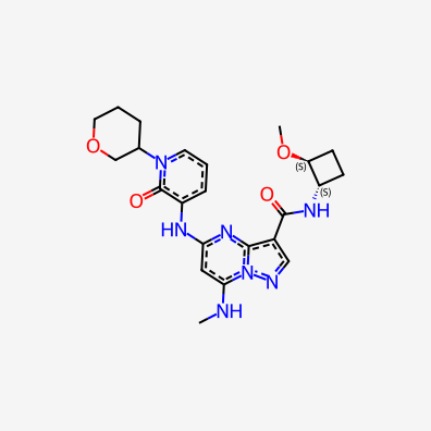 CNc1cc(Nc2cccn(C3CCCOC3)c2=O)nc2c(C(=O)N[C@H]3CC[C@@H]3OC)cnn12